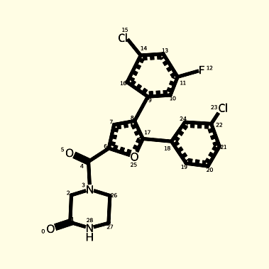 O=C1CN(C(=O)c2cc(-c3cc(F)cc(Cl)c3)c(-c3cccc(Cl)c3)o2)CCN1